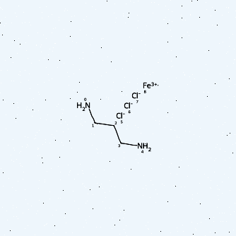 NCCCN.[Cl-].[Cl-].[Cl-].[Fe+3]